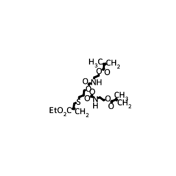 C=C(C)C(=O)OCCNC(=O)OCC(CSCC(=C)C(=O)OCC)OC(=O)NCCOC(=O)C(=C)C